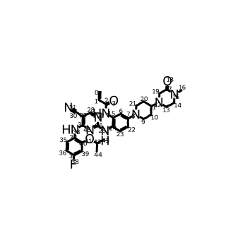 C=CC(=O)Nc1cc(N2CCC(N3CCN(C)C(=O)C3)CC2)ccc1Nc1ncc(C#N)c(Nc2ccc(F)cc2OC(C)C)n1